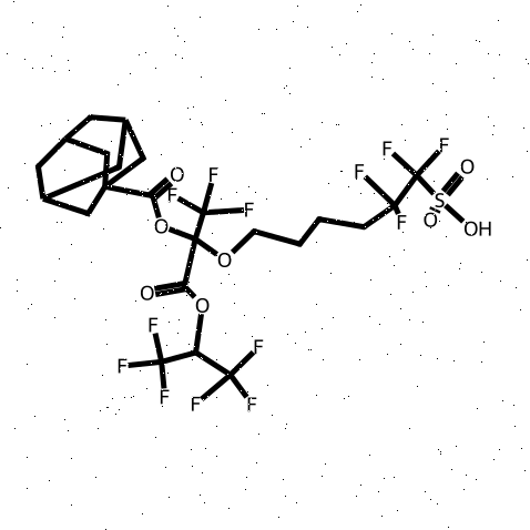 O=C(OC(OCCCCC(F)(F)C(F)(F)S(=O)(=O)O)(C(=O)OC(C(F)(F)F)C(F)(F)F)C(F)(F)F)C12CC3CC(CC(C3)C1)C2